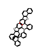 c1cc(-c2cccc3ccccc23)cc(N(c2ccccc2-c2cccc3c2oc2c4ccccc4ccc32)c2cccc3oc4c5ccccc5ccc4c23)c1